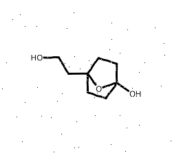 OCCC12CCC(O)(CC1)O2